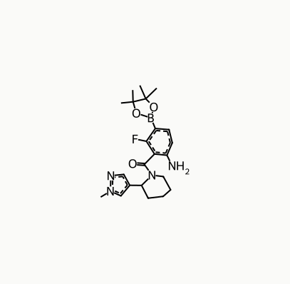 Cn1cc(C2CCCCN2C(=O)c2c(N)ccc(B3OC(C)(C)C(C)(C)O3)c2F)cn1